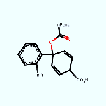 CCCCCC(=O)OC1(c2ccccc2CCC)C=CC(C(=O)O)C=C1